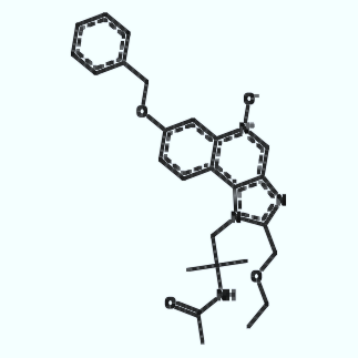 CCOCc1nc2c[n+]([O-])c3cc(OCc4ccccc4)ccc3c2n1CC(C)(C)NC(C)=O